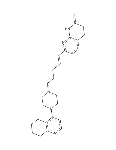 O=C1CCc2ccc(/C=C/CCCN3CCN(c4cccc5c4CCCC5)CC3)nc2N1